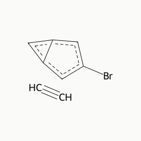 Brc1cc2cc-2c1.C#C